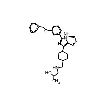 CC(O)CNCC1CCC(C2=C3C=NC=C[N+]3(N)C(c3cccc(OCc4ccccc4)c3)=N2)CC1